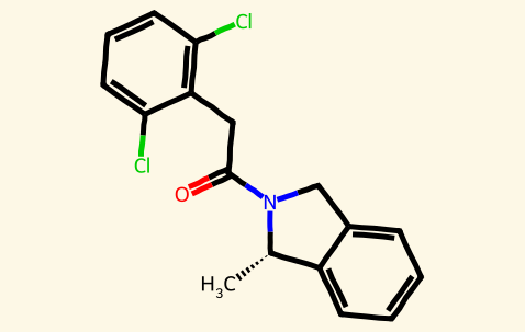 C[C@H]1c2ccccc2CN1C(=O)Cc1c(Cl)cccc1Cl